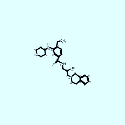 CCc1ccc(C(=O)NCC(O)CN2CCc3ccccc3C2)cc1NC1CCOCC1